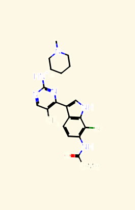 COC(=O)Nc1ccc2c(-c3nc(N[C@H]4CCCN(C)C4)ncc3C(F)(F)F)c[nH]c2c1Br